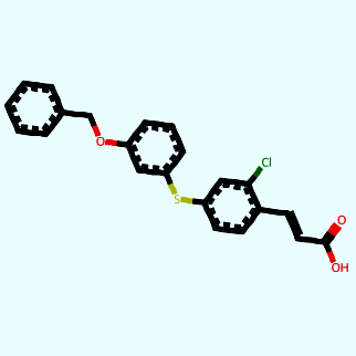 O=C(O)C=Cc1ccc(Sc2cccc(OCc3ccccc3)c2)cc1Cl